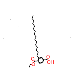 CCCCCCCCCCCCCCCCc1cc(C(=O)O)ccc1C(=O)OCC